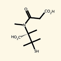 CN(C(=O)CC(=O)O)[C@](C)(C(=O)O)C(C)(C)S